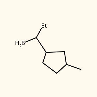 BC(CC)C1CCC(C)C1